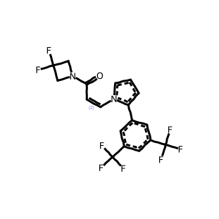 O=C(/C=C\n1cccc1-c1cc(C(F)(F)F)cc(C(F)(F)F)c1)N1CC(F)(F)C1